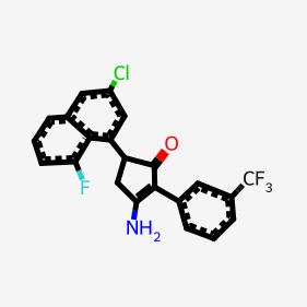 NC1=C(c2cccc(C(F)(F)F)c2)C(=O)C(c2cc(Cl)cc3cccc(F)c23)C1